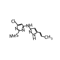 C/C=C/c1cc(Nc2cc(Cl)nc(SC)n2)n[nH]1